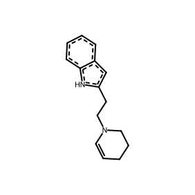 C1=CN(CCc2cc3ccccc3[nH]2)CCC1